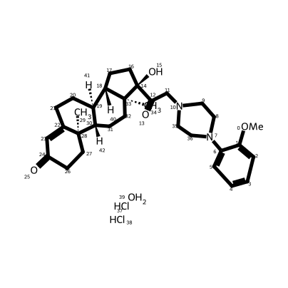 COc1ccccc1N1CCN(CC(=O)[C@@]2(O)CC[C@H]3[C@@H]4CCC5=CC(=O)CC[C@]5(C)[C@H]4CC[C@@]32C)CC1.Cl.Cl.O